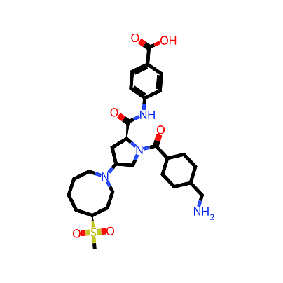 CS(=O)(=O)[C@H]1CCCCN(C2C[C@@H](C(=O)Nc3ccc(C(=O)O)cc3)N(C(=O)C3CCC(CN)CC3)C2)CC1